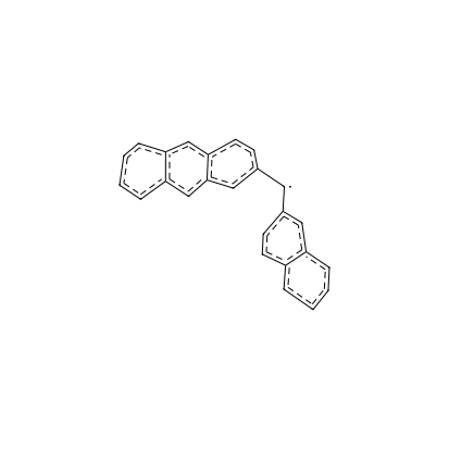 [CH](c1ccc2ccccc2c1)c1ccc2cc3ccccc3cc2c1